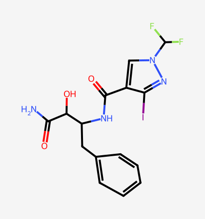 NC(=O)C(O)C(Cc1ccccc1)NC(=O)c1cn(C(F)F)nc1I